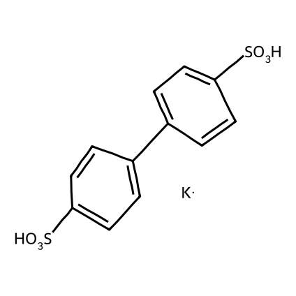 O=S(=O)(O)c1ccc(-c2ccc(S(=O)(=O)O)cc2)cc1.[K]